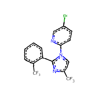 FC(F)(F)c1cn(-c2ccc(Br)cn2)c(-c2ccccc2C(F)(F)F)n1